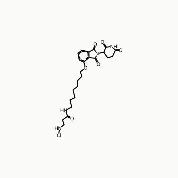 O=C(CCNCl)NCCCCCCCCOc1cccc2c1C(=O)N(C1CCC(=O)NC1=O)C2=O